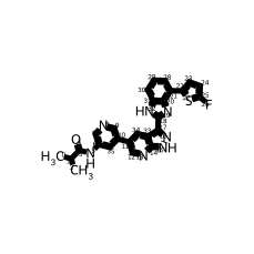 CC(C)C(=O)Nc1cncc(-c2cnc3[nH]nc(-c4nc5c(-c6ccc(F)s6)cccc5[nH]4)c3c2)c1